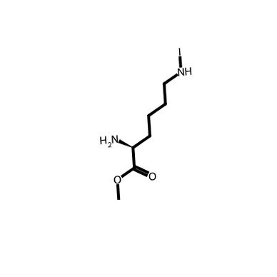 COC(=O)[C@@H](N)CCCCNI